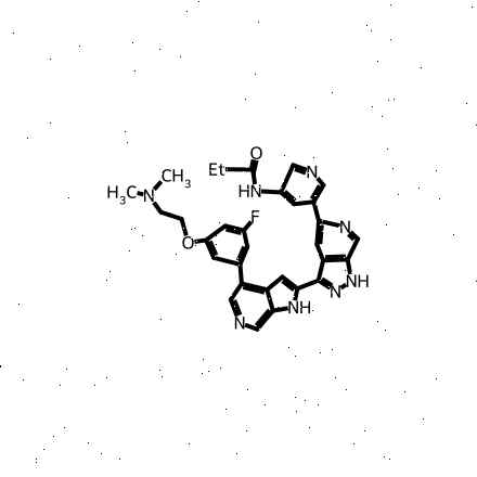 CCC(=O)Nc1cncc(-c2cc3c(-c4cc5c(-c6cc(F)cc(OCCN(C)C)c6)cncc5[nH]4)n[nH]c3cn2)c1